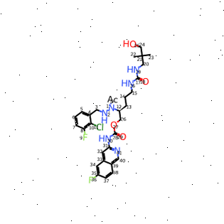 CC(=O)N(NCc1cccc(F)c1Cl)[C@@H](CCCNC(=O)NCC(C)(C)CO)COC(=O)Nc1cc2cc(F)ccc2cn1